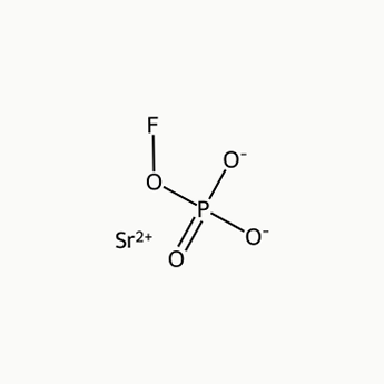 O=P([O-])([O-])OF.[Sr+2]